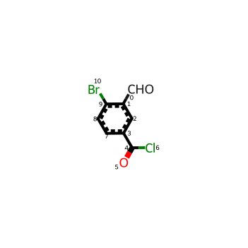 O=Cc1cc(C(=O)Cl)ccc1Br